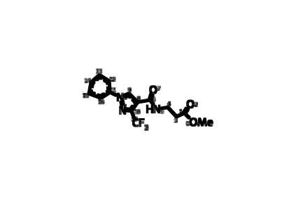 COC(=O)CCNC(=O)c1cn(-c2ccccc2)nc1C(F)(F)F